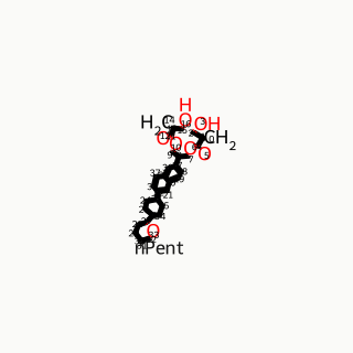 C=C(CO)C(=O)OCC(COC(=O)C(=C)CO)c1ccc2cc(C3CCC(C4CCC(CCCCC)CO4)CC3)ccc2c1